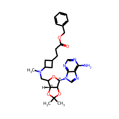 CN(CC1O[C@@H](n2cnc3c(N)ncnc32)C2OC(C)(C)O[C@H]12)C1CC(CCC(=O)OCc2ccccc2)C1